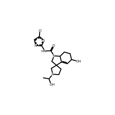 CC(O)N1CCC2(C1)CN(C(=O)Nc1ncc(Cl)s1)C1CCC(O)C=C12